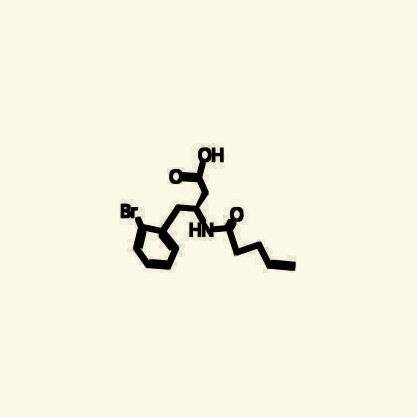 C=CCCC(=O)N[C@H](CC(=O)O)Cc1ccccc1Br